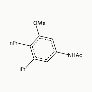 CCCc1c(OC)cc(NC(C)=O)cc1C(C)C